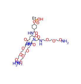 CCP(=O)(O)OC1CCC(C(=O)NC(CCC(=O)NCCOCCOCCON)C(=O)N(CC(=O)NCCOCCOCCON)CC(=O)NCCOCCOCCON)CC1